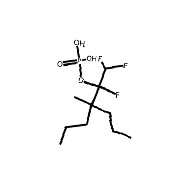 CCCC(C)(CCC)C(F)(OP(=O)(O)O)C(F)F